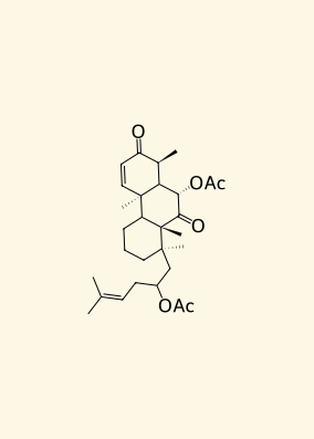 CC(=O)OC(CC=C(C)C)C[C@@]1(C)CCCC2[C@@]3(C)C=CC(=O)[C@@H](C)C3[C@H](OC(C)=O)C(=O)[C@@]21C